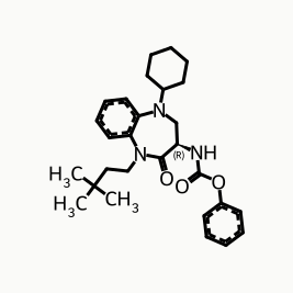 CC(C)(C)CCN1C(=O)[C@H](NC(=O)Oc2ccccc2)CN(C2CCCCC2)c2ccccc21